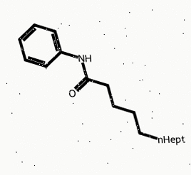 CCCCCCCCCCCC(=O)Nc1[c]cccc1